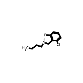 CCCCNCc1c(F)cccc1Cl